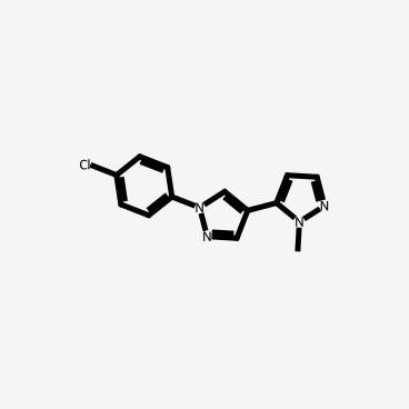 Cn1nccc1-c1cnn(-c2ccc(Cl)cc2)c1